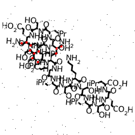 CC(C)C[C@H](NC(=O)[C@H](CCC(=O)O)NC(=O)[C@@H](NC(=O)[C@H](CC(C)C)NC(=O)[C@@H](NC(=O)[C@H](CCCCN)NC(=O)[C@@H](NC(=O)[C@H](CC(C)C)NC(=O)[C@H](CCC(=O)O)NC(=O)[C@H](CCCCN)NC(=O)[C@H](CC(C)C)NC(=O)[C@@H](NC(=O)[C@H](CCC(=O)O)NC(=O)[C@@H](NC(=O)[C@H](CC(C)C)NC(=O)[C@@H](NC(=O)[C@H](CCCCN)NC(=O)[C@@H](N)CC(C)C)[C@@H](C)O)[C@@H](C)O)[C@@H](C)O)[C@@H](C)O)[C@@H](C)O)[C@@H](C)O)C(=O)O